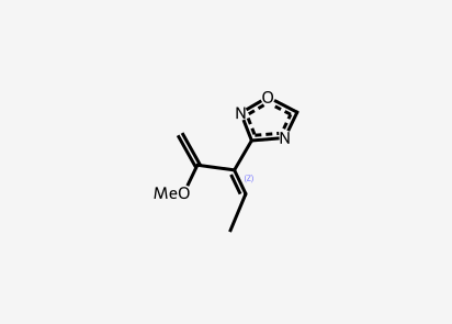 C=C(OC)/C(=C\C)c1ncon1